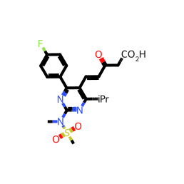 CC(C)c1nc(N(C)S(C)(=O)=O)nc(-c2ccc(F)cc2)c1C=CC(=O)CC(=O)O